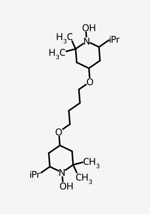 CC(C)C1CC(OCCCCOC2CC(C(C)C)N(O)C(C)(C)C2)CC(C)(C)N1O